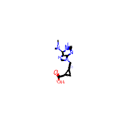 CN(C)c1ncnc2c1ncn2/C=C1/CC1C(=O)O